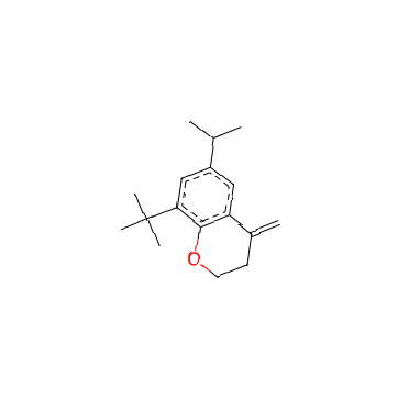 C=C1CCOc2c1cc(C(C)C)cc2C(C)(C)C